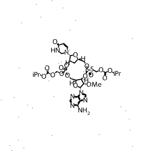 CO[C@@H]1[C@@H]2OP(=O)(SCOC(=O)OC(C)C)OC[C@@H]3C[C@@H](OP(=O)(OCOC(=O)OC(C)C)OC[C@H]2O[C@H]1n1cnc2c(N)ncnc21)[C@H](N1C=CC(=O)NC1)O3